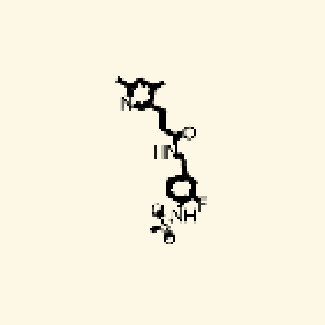 Cc1cc(C)c(/C=C/C(=O)NCc2ccc(NS(C)(=O)=O)c(F)c2)cn1